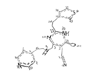 N#Cc1c(NCc2ccncc2)nc(Cc2ccsc2)[nH]c1=O